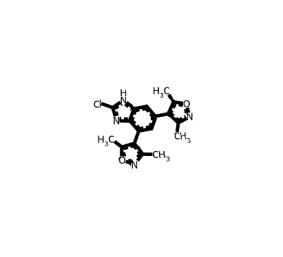 Cc1noc(C)c1-c1cc(-c2c(C)noc2C)c2nc(Cl)[nH]c2c1